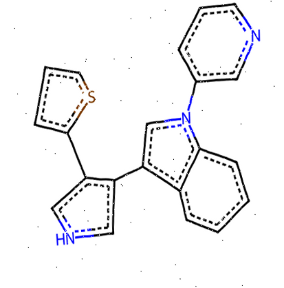 c1cncc(-n2cc(-c3c[nH]cc3-c3cccs3)c3ccccc32)c1